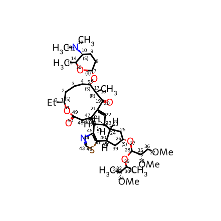 CC[C@H]1CCC[C@H](O[C@H]2CC[C@H](N(C)C)C(C)O2)[C@@H](C)C(=O)C2=C[C@H]3[C@@H]4C[C@H](OC(OC(C)[C@@H](C)OC)[C@H](COC)OC)C[C@H]4c4scnc4[C@H]3[C@@H]2CC(=O)O1